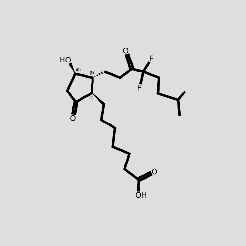 CC(C)CCC(F)(F)C(=O)CC[C@H]1[C@H](O)CC(=O)[C@@H]1CCCCCCC(=O)O